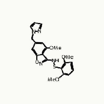 COc1cccc(OC)c1SNc1noc2cc(Cn3cccn3)cc(OC)c12